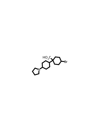 O=C(O)C1(C2CCC(N3CCCC3)CC2)CCC(Br)CC1